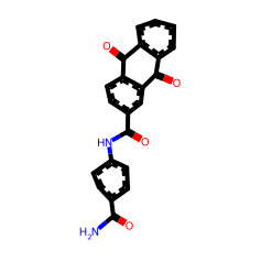 NC(=O)c1ccc(NC(=O)c2ccc3c(c2)C(=O)c2ccccc2C3=O)cc1